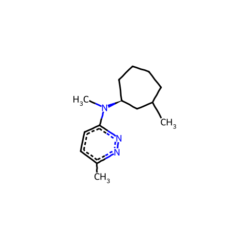 Cc1ccc(N(C)[C@H]2CCCCC(C)C2)nn1